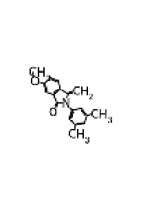 C=C1c2ccc(OC)cc2C(=O)N1c1cc(C)cc(C)c1